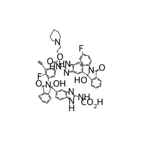 C#Cc1cccc(N2C(=O)c3ccccc3C2(O)c2ccc3[nH]c(NC(=O)O)nc3c2)c1F.O=C(Nc1nc2cc(C3(O)c4ccccc4C(=O)N3c3ccc(F)cc3)ccc2[nH]1)OCCN1CCCCC1